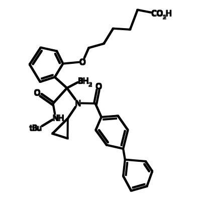 BC(C(=O)NC(C)(C)C)(c1ccccc1OCCCCCC(=O)O)N(C(=O)c1ccc(-c2ccccc2)cc1)C1CC1